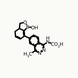 Cc1nnc(NC(=O)O)c2ccc(C3=C4B(O)OCC4CC=C3)cc12